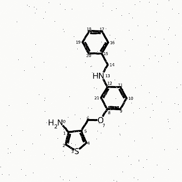 Nc1cscc1COc1cccc(NCc2ccccc2)c1